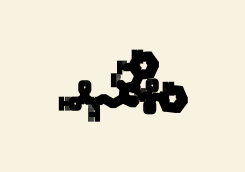 O=C(O)NCCc1cn(S(=O)(=O)c2ccccn2)c(-c2cccnc2F)c1F